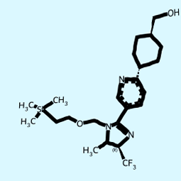 CC1[C@H](C(F)(F)F)N=C(c2ccc([C@H]3CC[C@H](CO)CC3)nc2)N1COCC[Si](C)(C)C